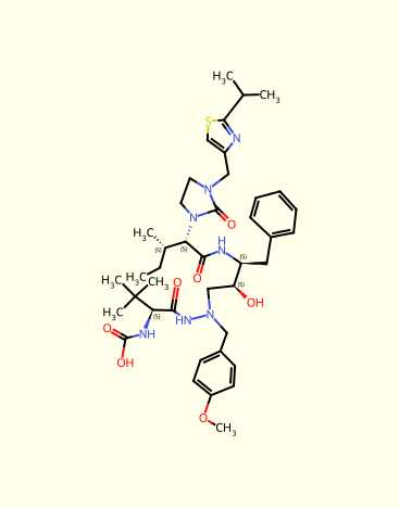 CC[C@H](C)[C@@H](C(=O)N[C@@H](Cc1ccccc1)[C@@H](O)CN(Cc1ccc(OC)cc1)NC(=O)[C@@H](NC(=O)O)C(C)(C)C)N1CCN(Cc2csc(C(C)C)n2)C1=O